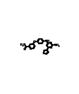 NC(=O)c1cc(Oc2ccc(Nc3cc(-c4ccsc4)nc(N)n3)cc2)ccn1